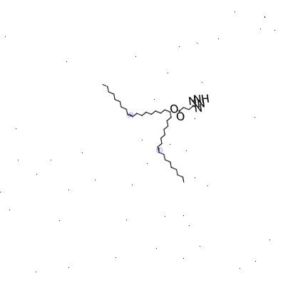 CCCCCCCC/C=C\CCCCCCCC(CCCCCCC/C=C\CCCCCCCC)OC(=O)CCc1nn[nH]n1